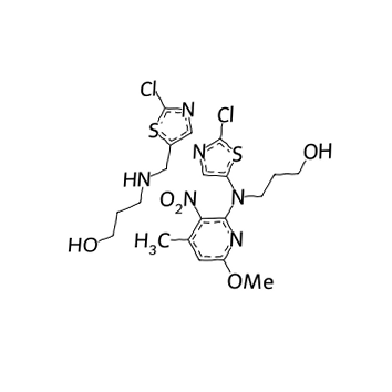 COc1cc(C)c([N+](=O)[O-])c(N(CCCO)c2cnc(Cl)s2)n1.OCCCNCc1cnc(Cl)s1